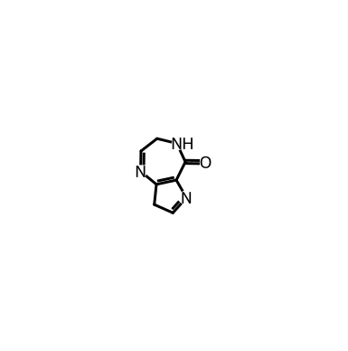 O=C1NCC=NC2=C1N=CC2